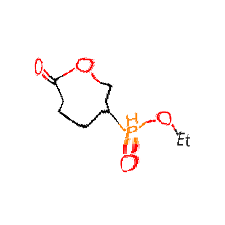 CCO[PH](=O)C1CCC(=O)OC1